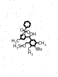 Cc1cc(C(O)c2cc(C)c(C(C)(C)C)c(C)c2CO[SiH3])n(S(=O)(=O)c2ccccc2)c1